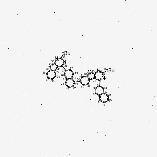 CC(C)(C)c1nc(-c2ccc3ccccc3c2)c2c(n1)oc1cc(-c3cccc4cc(-c5nc(C(C)(C)C)nc6sc7ccccc7c56)ccc34)ccc12